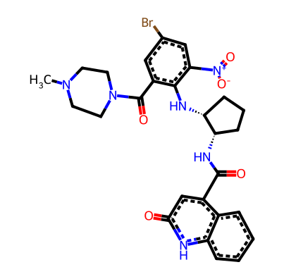 CN1CCN(C(=O)c2cc(Br)cc([N+](=O)[O-])c2N[C@@H]2CCC[C@@H]2NC(=O)c2cc(=O)[nH]c3ccccc23)CC1